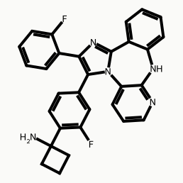 NC1(c2ccc(-c3c(-c4ccccc4F)nc4n3-c3cccnc3Nc3ccccc3-4)cc2F)CCC1